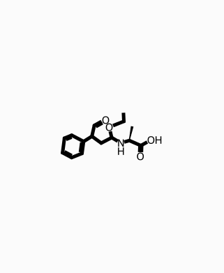 CCOC(CC(C=O)c1ccccc1)N[C@@H](C)C(=O)O